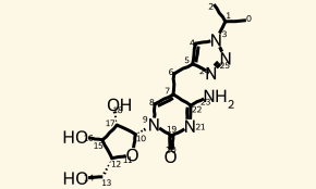 CC(C)n1cc(Cc2cn([C@@H]3O[C@H](CO)C(O)[C@@H]3O)c(=O)nc2N)nn1